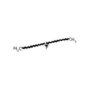 CCCCCCCCCCCCCCCCCCN(CCCCCCCCCCCCCCCCCC)CC(F)F